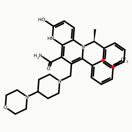 C[C@@H](c1ccccc1)N1C2=CC=C(O)NC2=C(C(N)=O)C(CN2CCC(N3CCOCC3)CC2)=C1c1cccc(C(F)(F)F)c1